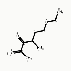 C=C(C)C(=O)C(N)CCOCC